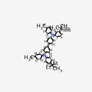 CCCCC(C)(C)c1cccc(N(c2ccc(C)cc2)c2ccc(-c3ccc(N(c4ccc(C)cc4)c4ccc(C(C)(CC)CC)cc4)cc3)cc2)c1